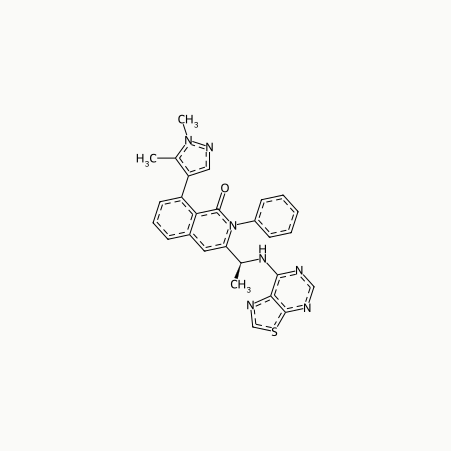 Cc1c(-c2cccc3cc([C@H](C)Nc4ncnc5scnc45)n(-c4ccccc4)c(=O)c23)cnn1C